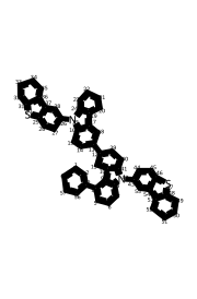 c1ccc(-c2cccc3c2c2cc(-c4ccc5c(c4)c4ccccc4n5-c4ccc5sc6ccccc6c5c4)ccc2n3-c2ccc3sc4ccccc4c3c2)cc1